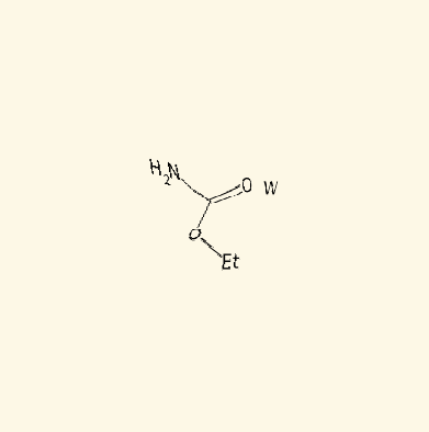 CCOC(N)=O.[W]